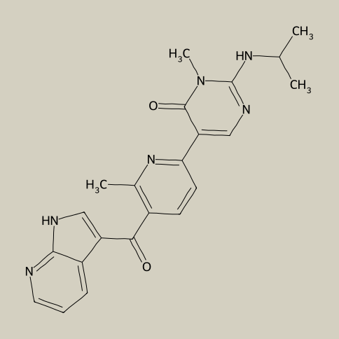 Cc1nc(-c2cnc(NC(C)C)n(C)c2=O)ccc1C(=O)c1c[nH]c2ncccc12